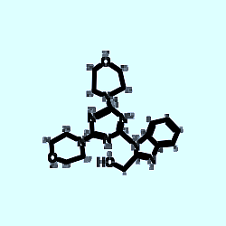 OCc1nc2ccccc2n1-c1nc(N2CCOCC2)nc(N2CCOCC2)n1